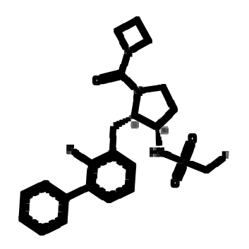 O=C(N1CCC1)N1CC[C@H](NS(=O)(=O)CF)[C@@H]1Cc1cccc(-c2ccccc2)c1F